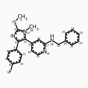 CSc1nc(-c2ccc(F)cc2)c(-c2ccnc(NCc3ccccc3)c2)n1C